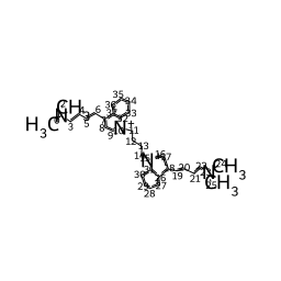 CN(C)C=CC=Cc1cc[n+](CCCC[n+]2ccc(C=CC=CN(C)C)c3ccccc32)c2ccccc12